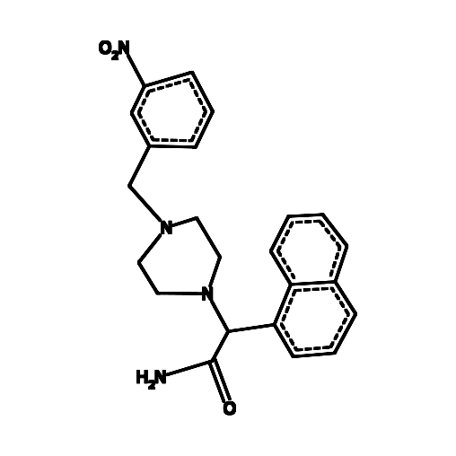 NC(=O)C(c1cccc2ccccc12)N1CCN(Cc2cccc([N+](=O)[O-])c2)CC1